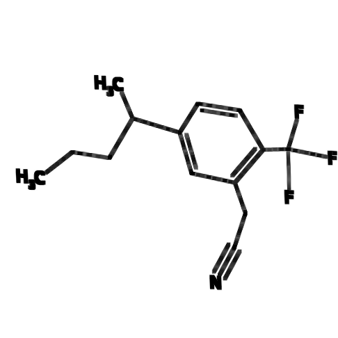 CCCC(C)c1ccc(C(F)(F)F)c(CC#N)c1